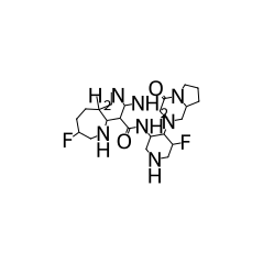 CCC1(C)CCC(F)CNC1C(C(=O)NC1CNCC(F)C1N1CC(=O)N2CCCC2C1)C(N)N